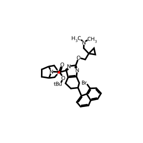 CN(C)CC1(COc2nc3c(c(N4CC5CCC(C4)N5C(=O)OC(C)(C)C)n2)CCC(c2cccc4cccc(Br)c24)C3)CC1